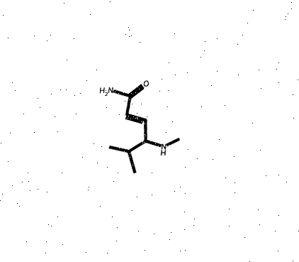 CNC(C=CC(N)=O)C(C)C